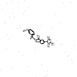 COc1cccc([C@H](C)N2Cc3ccc(C4NOC(C(F)(F)F)N4)cc3C2=O)c1